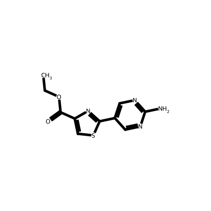 CCOC(=O)c1csc(-c2cnc(N)nc2)n1